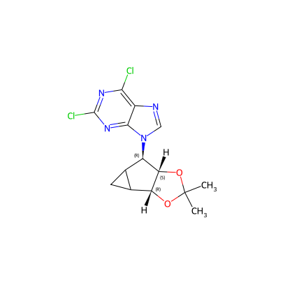 CC1(C)O[C@@H]2[C@H](O1)C1CC1[C@H]2n1cnc2c(Cl)nc(Cl)nc21